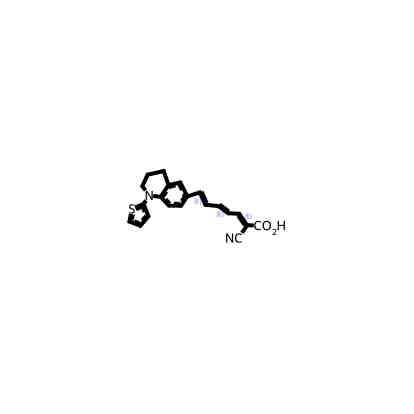 N#C\C(=C/C=C/C=C/c1ccc2c(c1)CCCN2c1cccs1)C(=O)O